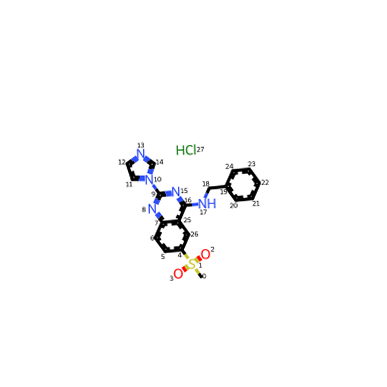 CS(=O)(=O)c1ccc2nc(-n3ccnc3)nc(NCc3ccccc3)c2c1.Cl